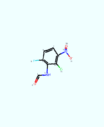 O=CNc1c(F)ccc([N+](=O)[O-])c1Cl